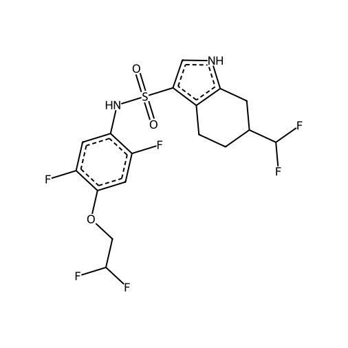 O=S(=O)(Nc1cc(F)c(OCC(F)F)cc1F)c1c[nH]c2c1CCC(C(F)F)C2